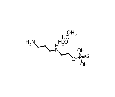 NCCCNCCOP(O)(O)=S.O.O.O